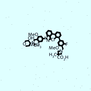 COc1cc(-c2cccc(-c3cccc4c3cnn4-c3cc(OC)c(CN(C)[C@@H]4CCOC[C@@H]4O)c(OC)c3)c2Cl)cc(F)c1CN1CC(C)(C(=O)O)C1